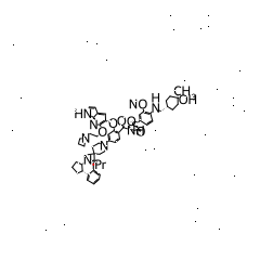 CC(C)c1ccccc1[C@@H]1CCC[C@@H]1N1CC2(CCN(c3ccc(C(=O)NS(=O)(=O)c4ccc(NC[C@H]5CC[C@](C)(O)CC5)c(N=O)c4)c(Oc4cc5cc[nH]c5nc4OCCN4CCC4)c3)CC2)C1